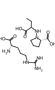 CCC(NN1CCC[C@H]1C(=O)O)C(=O)O.N=C(N)NCCC[C@H](N)C(=O)O